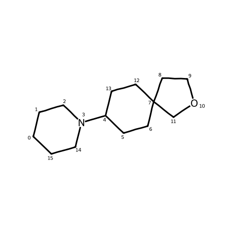 C1CCN(C2CCC3(CCOC3)CC2)CC1